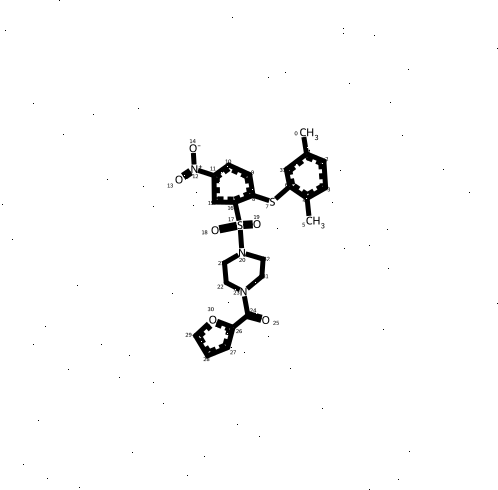 Cc1ccc(C)c(Sc2ccc([N+](=O)[O-])cc2S(=O)(=O)N2CCN(C(=O)c3ccco3)CC2)c1